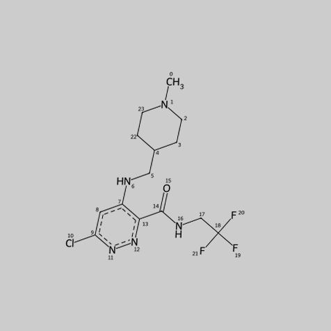 CN1CCC(CNc2cc(Cl)nnc2C(=O)NCC(F)(F)F)CC1